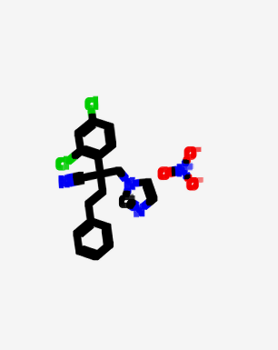 N#CC(CCc1ccccc1)(CN1[C+]=NC=C1)c1ccc(Cl)cc1Cl.O=[N+]([O-])[O-]